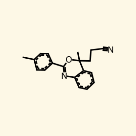 Cc1ccc(C2=Nc3ccccc3C(C)(CCC#N)O2)cc1